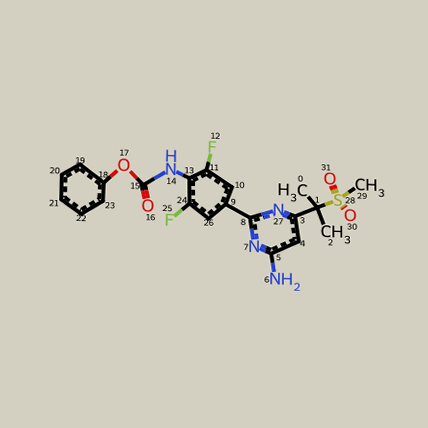 CC(C)(c1cc(N)nc(-c2cc(F)c(NC(=O)Oc3ccccc3)c(F)c2)n1)S(C)(=O)=O